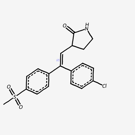 CS(=O)(=O)c1ccc(/C(=C/C2CCNC2=O)c2ccc(Cl)cc2)cc1